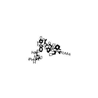 C#CC(C)Oc1cc(N2C(=O)C3=C(CCCC3)C2=O)c(F)cc1Cl.CC1COc2ccccc2N1C(=O)C(Cl)Cl.CCNc1nc(Cl)nc(NC(C)C)n1.CCc1cccc(C)c1N(C(=O)CCl)C(C)COC